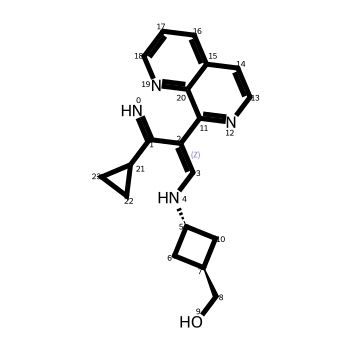 N=C(/C(=C\N[C@H]1C[C@H](CO)C1)c1nccc2cccnc12)C1CC1